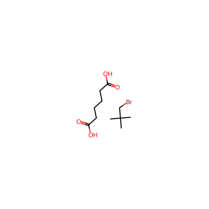 CC(C)(C)CBr.O=C(O)CCCCC(=O)O